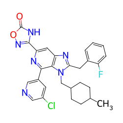 CC1CCC(Cn2c(Cc3ccccc3F)nc3cc(-c4noc(=O)[nH]4)nc(-c4cncc(Cl)c4)c32)CC1